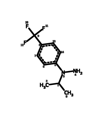 CC(C)N(N)c1ccc(C(F)(F)F)cc1